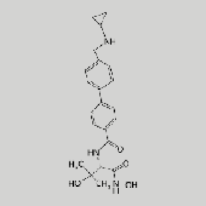 CC(C)(O)[C@H](NC(=O)c1ccc(-c2ccc(CNC3CC3)cc2)cc1)C(=O)NO